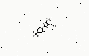 Cc1cc(-c2ccc(C(F)(F)F)cc2F)sc1CO